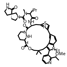 CCn1c(-c2cccnc2[C@H](C)OC)c2c3cc(ccc31)-c1csc(n1)C[C@H](NC(=O)C(C(C)C)N(C)C(=O)N1CC[C@@]3(CCNC3=O)C1)C(=O)N1CCC[C@H](N1)C(=O)OCC(C)(C)C2